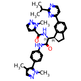 Cc1cnn(C)c1-c1ccc(NC(=O)[C@@H](NC(=O)c2ccnn2C)[C@@H]2CCc3ccc(-c4ccnc(C(C)C)n4)cc32)cc1